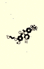 COCCCOc1cc(C(=O)N(C(C)C)[C@H]2CNCC[C@@H]2c2cccc(NS(C)(=O)=O)c2)ccc1OC